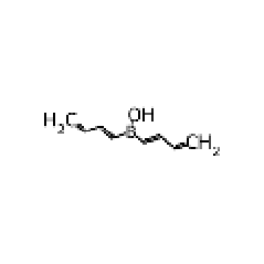 C=C/C=C/B(O)/C=C/C=C